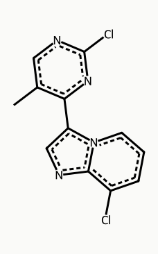 Cc1cnc(Cl)nc1-c1cnc2c(Cl)cccn12